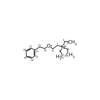 CC[N+](CC)(CC)CCOCCc1ccccc1